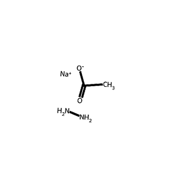 CC(=O)[O-].NN.[Na+]